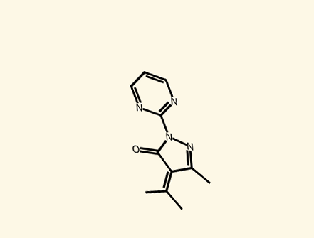 CC1=NN(c2ncccn2)C(=O)C1=C(C)C